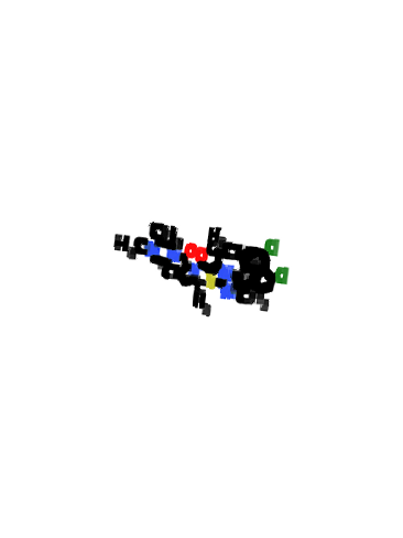 CC(C)C1=C(C(=O)N2[C@H](C)CC[C@H]2C(=O)N2C[C@@H](C)N(C)C[C@H]2C)SC2=N[C@@](C)(c3ccc(Cl)cc3)[C@@H](c3ccc(Cl)cc3)N21